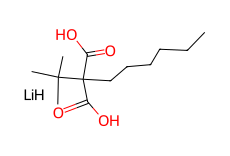 CCCCCCC(C(=O)O)(C(=O)O)C(C)(C)C.[LiH]